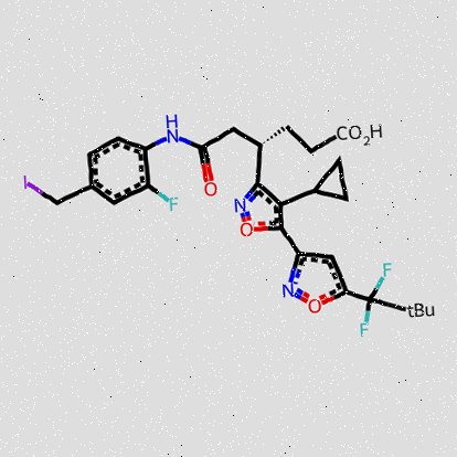 CC(C)(C)C(F)(F)c1cc(-c2onc([C@@H](CCC(=O)O)CC(=O)Nc3ccc(CI)cc3F)c2C2CC2)no1